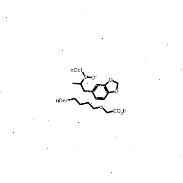 CCCCCCCCCCCCCCSCC(=O)O.CCCCCCCC[S+]([O-])C(C)Cc1ccc2c(c1)OCO2